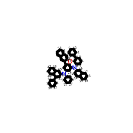 c1ccc(-c2cccc(N(c3ccc4ccccc4c3)c3cc(N(c4ccccc4)c4cc(-c5ccccc5)c5ccccc5c4)cc4c3oc3cc5ccccc5cc34)c2)cc1